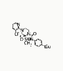 CC(C)(C)c1ccc(NC(=O)N2CCN(c3ncccc3C(F)(F)F)C[C@H]2S(C)(=O)=O)cc1